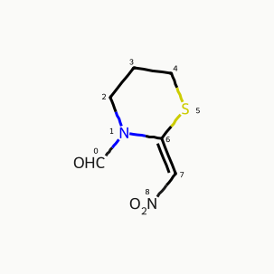 O=CN1CCCSC1=C[N+](=O)[O-]